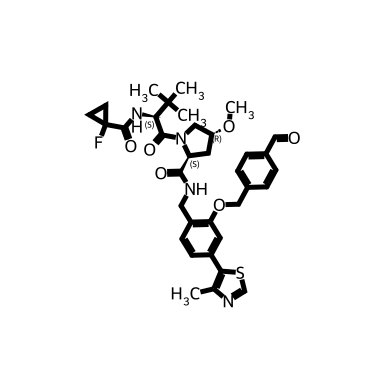 CO[C@@H]1C[C@@H](C(=O)NCc2ccc(-c3scnc3C)cc2OCc2ccc(C=O)cc2)N(C(=O)[C@@H](NC(=O)C2(F)CC2)C(C)(C)C)C1